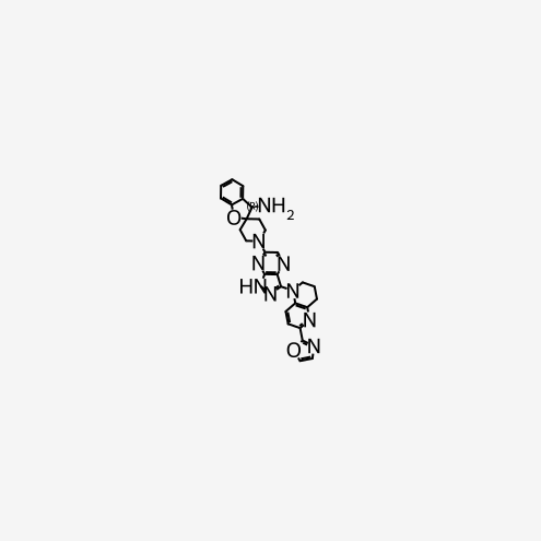 N[C@@H]1c2ccccc2OC12CCN(c1cnc3c(N4CCCc5nc(-c6ncco6)ccc54)n[nH]c3n1)CC2